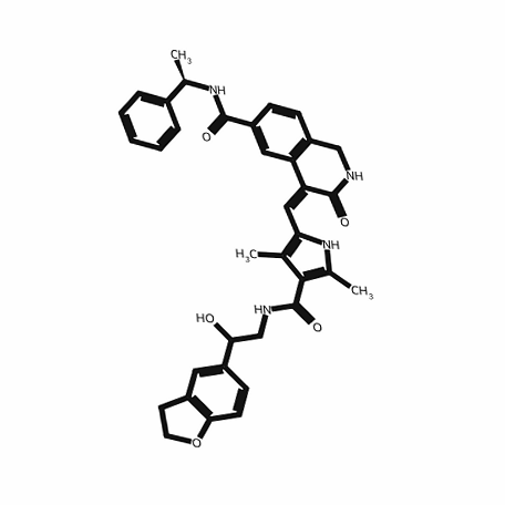 Cc1[nH]c(/C=C2\C(=O)NCc3ccc(C(=O)N[C@H](C)c4ccccc4)cc32)c(C)c1C(=O)NCC(O)c1ccc2c(c1)CCO2